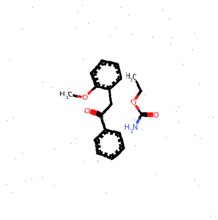 CCOC(N)=O.COc1ccccc1CC(=O)c1ccccc1